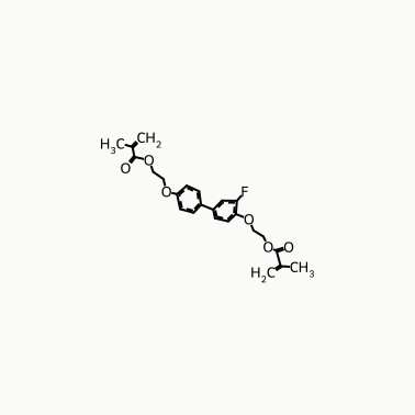 C=C(C)C(=O)OCCOc1ccc(-c2ccc(OCCOC(=O)C(=C)C)c(F)c2)cc1